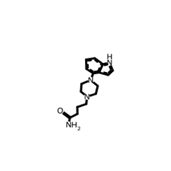 NC(=O)CCCN1CCN(c2cccc3[nH]ccc23)CC1